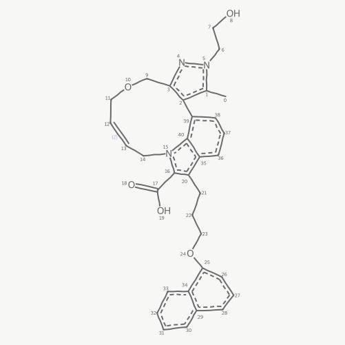 Cc1c2c(nn1CCO)COC/C=C\Cn1c(C(=O)O)c(CCCOc3cccc4ccccc34)c3cccc-2c31